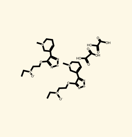 CC[S+]([O-])CCOc1nsnc1C1=CCCN(C)C1.CC[S+]([O-])CCOc1nsnc1C1=CCCN(C)C1.O=C(O)C(=O)O.O=C(O)C(=O)O